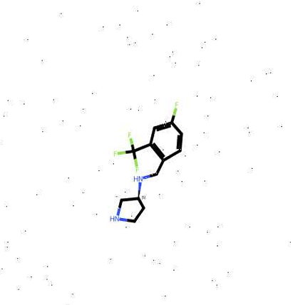 Fc1ccc(CN[C@H]2CCNC2)c(C(F)(F)F)c1